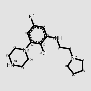 Fc1cc(NCCN2CCCC2)c(Cl)c(N2CCNCC2)c1